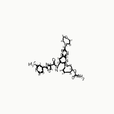 Cc1cc(-c2nc(C(=O)Nc3cc4sc(N5CCOCC5)nc4nc3N3CCC[C@H](OC(N)=O)C3)co2)ccn1